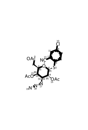 CC(=O)OC[C@H]1O[C@H](Sc2ccc(Cl)cc2C#N)[C@H](OC(C)=O)[C@@H](N=[N+]=[N-])[C@H]1OC(C)=O